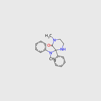 CN1CCNC(c2ccccc2)(N(C)c2ccccc2)C1=O